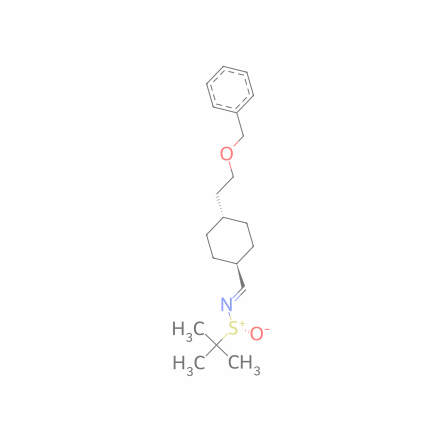 CC(C)(C)[S@@+]([O-])N=C[C@H]1CC[C@H](CCOCc2ccccc2)CC1